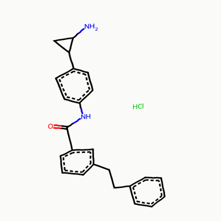 Cl.NC1CC1c1ccc(NC(=O)c2cccc(CCc3ccccc3)c2)cc1